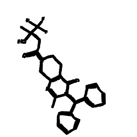 Cc1nc2c(c(=O)n1C(c1ccccc1)c1ccccc1)CCN(C(=O)CC(C)(O)C(F)(F)F)C2